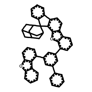 c1ccc(-c2cc(-c3cccc4c3oc3c5c(ccc34)-c3ccccc3C53C4CC5CC(C4)CC3C5)cc(-c3cccc4oc5ccccc5c34)c2)cc1